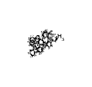 C=Cc1c(/C=C\C)c2ccc3c(c4cc5oc6ccccc6c5c5c6c7c(ccc6n3c45)c3ccccc3n7-c3ccccc3)c2n1-c1ccccc1